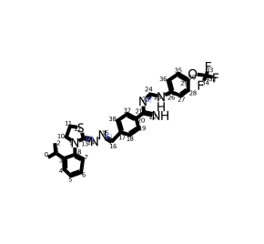 CC(C)c1ccccc1N1CCS/C1=N\N=C\c1ccc(C(=N)/N=C\Nc2ccc(OC(F)(F)F)cc2)cc1